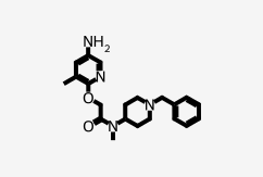 Cc1cc(N)cnc1OCC(=O)N(C)C1CCN(Cc2ccccc2)CC1